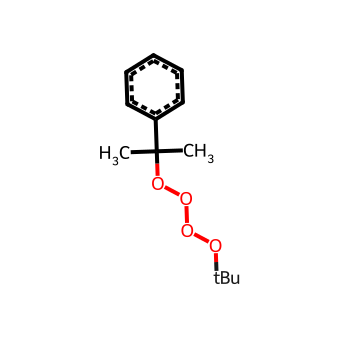 CC(C)(C)OOOOC(C)(C)c1ccccc1